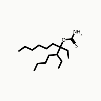 CCCCCCC(CC)(OC(N)=S)C(CC)CCCC